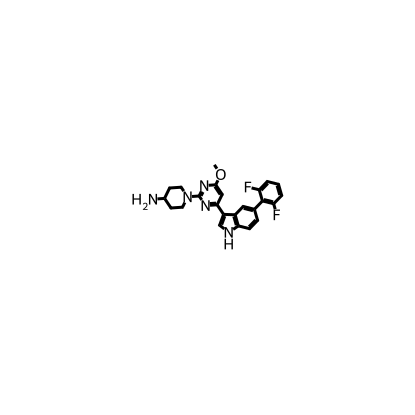 COc1cc(-c2c[nH]c3ccc(-c4c(F)cccc4F)cc23)nc(N2CCC(N)CC2)n1